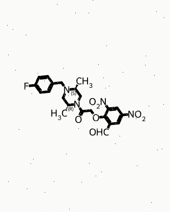 C[C@@H]1CN(Cc2ccc(F)cc2)[C@@H](C)CN1C(=O)COc1c(C=O)cc([N+](=O)[O-])cc1[N+](=O)[O-]